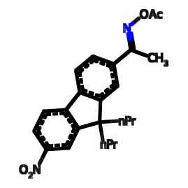 CCCC1(CCC)c2cc(/C(C)=N/OC(C)=O)ccc2-c2ccc([N+](=O)[O-])cc21